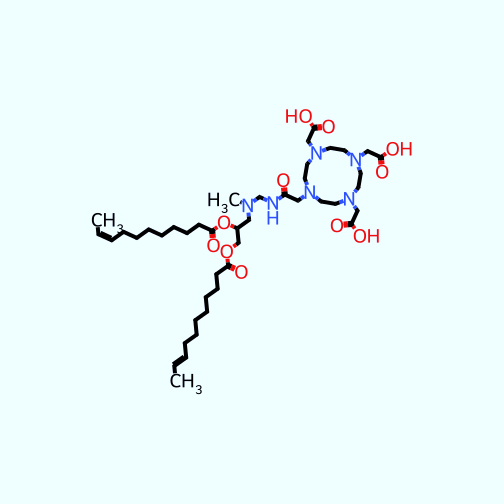 C/C=C\CCCCCCCC(=O)OC(COC(=O)CCCCCCC/C=C/C)CN(C)CNC(=O)CN1CCN(CC(=O)O)CCN(CC(=O)O)CCN(CC(=O)O)CC1